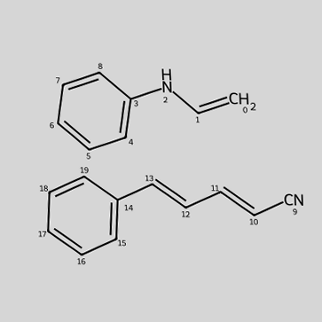 C=CNc1ccccc1.N#CC=CC=Cc1ccccc1